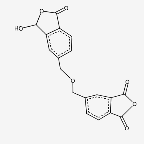 O=C1OC(=O)c2cc(COCc3ccc4c(c3)C(O)OC4=O)ccc21